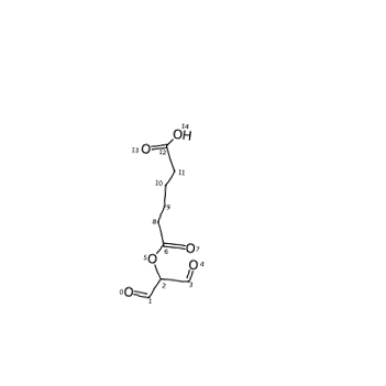 O=CC(C=O)OC(=O)CCCCC(=O)O